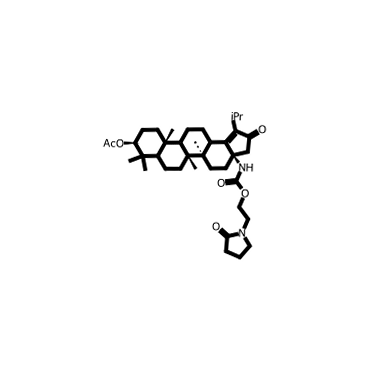 CC(=O)O[C@H]1CC[C@@]2(C)C(CC[C@]3(C)C2CCC2C4=C(C(C)C)C(=O)C[C@]4(NC(=O)OCCN4CCCC4=O)CC[C@]23C)C1(C)C